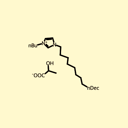 CC(O)C(=O)[O-].CCCCCCCCCCCCCCCCCCn1cc[n+](CCCC)c1